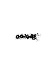 CC(CC(=N)c1ccc(NC(=O)c2ccc(C3CCCCC3)cc2)cn1)N(C)C(=O)OC(C)(C)C